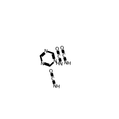 N=C=O.N=C=O.N=C=O.c1ncncn1